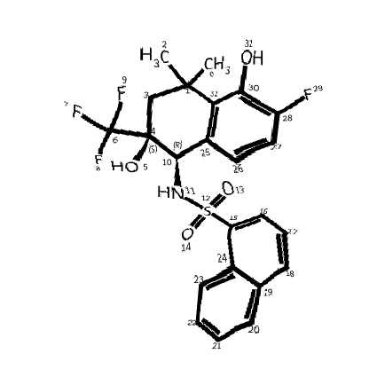 CC1(C)C[C@@](O)(C(F)(F)F)[C@H](NS(=O)(=O)c2cccc3ccccc23)c2ccc(F)c(O)c21